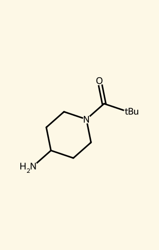 CC(C)(C)C(=O)N1CCC(N)CC1